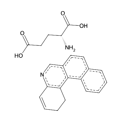 C1=Cc2ncc3ccc4ccccc4c3c2CC1.N[C@H](CCC(=O)O)C(=O)O